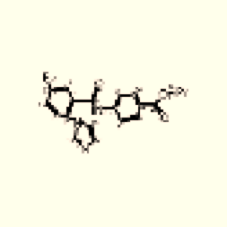 CC(C)OC(=O)c1ccc(NC(=O)c2cc(F)ccc2-n2ccnc2)cc1